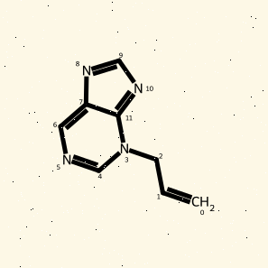 C=CCn1cncc2ncnc1-2